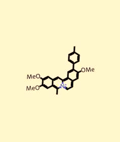 COc1cc2cc3c4cc(-c5ccc(C)cc5)c(OC)cc4cc[n+]3c(C)c2cc1OC